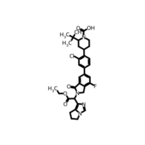 CCOC(=O)C(c1ncn2c1CCC2)N1Cc2c(F)cc(-c3ccc(C4CCN(C(=O)O)C(C(C)(C)C)C4)c(Cl)c3)cc2C1=O